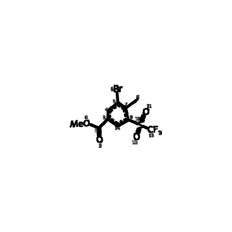 COC(=O)c1cc(Br)c(C)c(S(=O)(=O)C(F)(F)F)c1